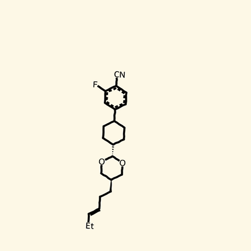 CC/C=C/CC[C@H]1CO[C@H](C2CCC(c3ccc(C#N)c(F)c3)CC2)OC1